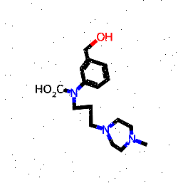 CN1CCN(CCCN(C(=O)O)c2cccc(CO)c2)CC1